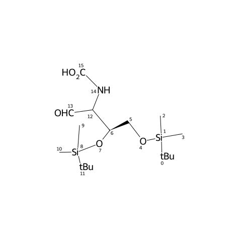 CC(C)(C)[Si](C)(C)OC[C@@H](O[Si](C)(C)C(C)(C)C)C(C=O)NC(=O)O